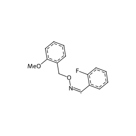 COc1ccccc1CO/N=[C]\c1ccccc1F